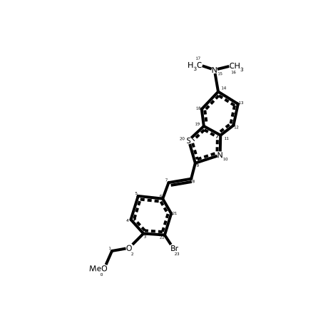 COCOc1ccc(/C=C/c2nc3ccc(N(C)C)cc3s2)cc1Br